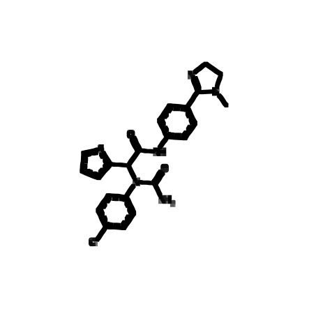 CN1CCN=C1c1ccc(NC(=O)C(c2cccs2)N(C(N)=O)c2ccc(Cl)cc2)cc1